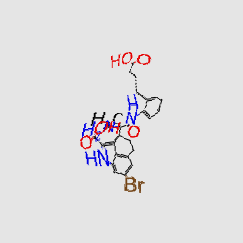 CC(N)(C(=O)Nc1ccccc1CCCC(=O)O)C1CCc2cc(Br)cc3[nH]c(C(=O)O)c1c23